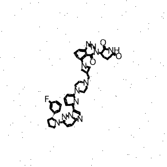 O=C1CCC(n2nnc3cccc(N4CC(CN5CCN(c6cccc(-c7cnc8ccc(N9CCC[C@@H]9c9cccc(F)c9)nn78)n6)CC5)C4)c3c2=O)C(=O)N1